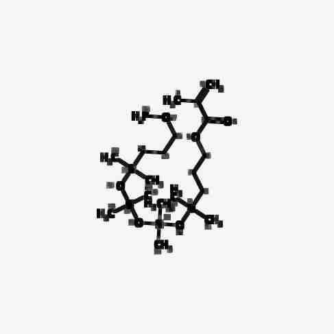 C=C(C)C(=O)OCCC[Si](C)(C)O[Si](C)(C)O[Si](C)(C)O[Si](C)(C)CCCOP